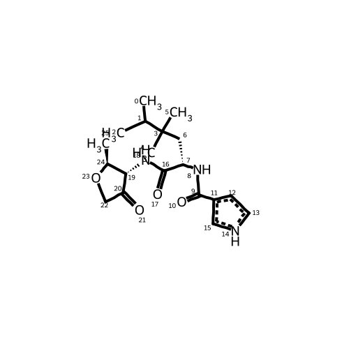 CC(C)C(C)(C)C[C@H](NC(=O)c1cc[nH]c1)C(=O)N[C@@H]1C(=O)CO[C@H]1C